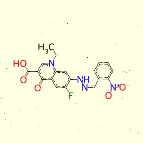 CCn1cc(C(=O)O)c(=O)c2cc(F)c(N/N=C\c3ccccc3[N+](=O)[O-])cc21